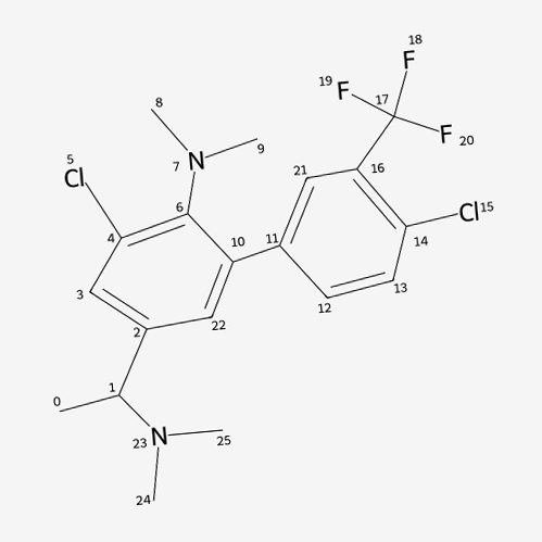 CC(c1cc(Cl)c(N(C)C)c(-c2ccc(Cl)c(C(F)(F)F)c2)c1)N(C)C